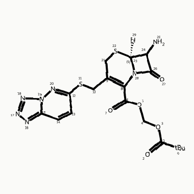 CC(C)(C)C(=O)OCOC(=O)C1=C(CSc2ccc3nnnn3n2)CS[C@H]2C(N)C(=O)N12